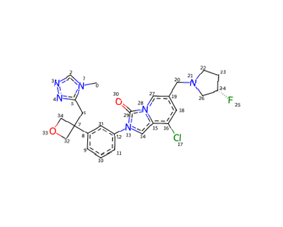 Cn1cnnc1CC1(c2cccc(-n3cc4c(Cl)cc(CN5CC[C@H](F)C5)cn4c3=O)c2)COC1